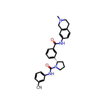 CN1CCc2ccc(NC(=O)c3cccc([C@@H]4CCCN4C(=O)Nc4cccc(C#N)c4)c3)cc2C1